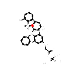 Cc1cc(OCC(=O)OC(C)(C)C)cc(C)c1S(OS(=O)(=O)c1c(F)cccc1F)(c1ccccc1)c1ccccc1